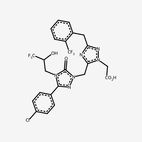 O=C(O)Cn1nc(Cc2ccccc2C(F)(F)F)nc1Cn1nc(-c2ccc(Cl)cc2)n(CC(O)C(F)(F)F)c1=O